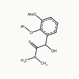 COc1cccc(C(O)C(=S)N(C)C)c1OC(C)C